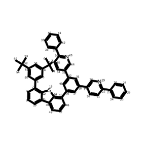 CC(C)(C)c1cc(-c2cccc3c2sc2c(-c4cc(-c5ccc(-c6ccccc6)nc5)cc(-c5ccc(-c6ccccc6)nc5)c4)cccc23)cc(C(C)(C)C)c1